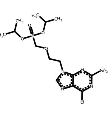 CC(C)OP(=O)(COCCn1cnc2c(Cl)nc(N)nc21)OC(C)C